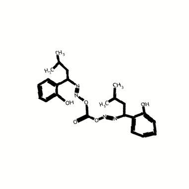 CC(C)CC(N=NOC(=O)ON=NC(CC(C)C)c1ccccc1O)c1ccccc1O